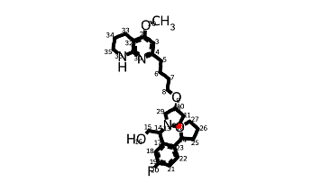 COc1cc(CCCCO[C@@H]2CCN(C(CO)c3cc(F)ccc3C3CCCO3)C2)nc2c1CCCN2